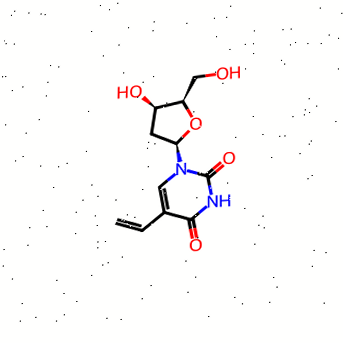 C=Cc1cn([C@H]2C[C@@H](O)[C@@H](CO)O2)c(=O)[nH]c1=O